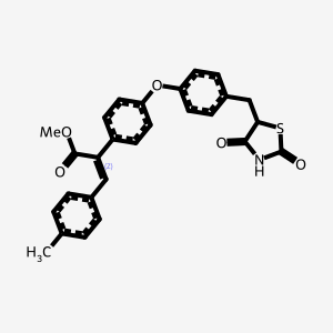 COC(=O)/C(=C\c1ccc(C)cc1)c1ccc(Oc2ccc(CC3SC(=O)NC3=O)cc2)cc1